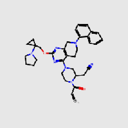 C=CC(=O)N1CCN(c2nc(OCC3(N4CCCC4)CC3)nc3c2CCN(c2cccc4ccccc24)C3)CC1CC#N